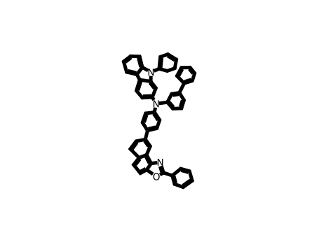 C1=CCCC(n2c3ccccc3c3ccc(N(c4ccc(-c5ccc6ccc7oc(-c8ccccc8)nc7c6c5)cc4)c4cccc(-c5ccccc5)c4)cc32)=C1